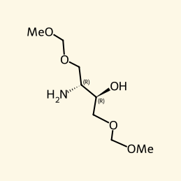 COCOC[C@@H](N)[C@@H](O)COCOC